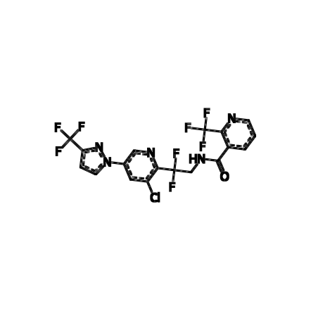 O=C(NCC(F)(F)c1ncc(-n2ccc(C(F)(F)F)n2)cc1Cl)c1cccnc1C(F)(F)F